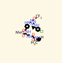 COC(=O)[C@H](CCNC(=O)C(=O)N[C@H]1C[C@H]2C3C2[C@]31C)NC(=O)c1ccc(Nc2nc(NC3(c4ccc(Cl)cc4)CC3)nc(OCC(F)(F)F)n2)cc1